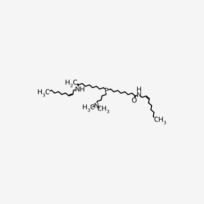 C=C(CCCCCCCP(CCCCCCCC(=O)NC/C=C\CCCCCC)CCCCN(C)C)NC/C=C\CCCCCC